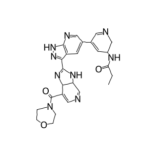 CCC(=O)NC1C=C(c2cnc3[nH]nc(C4=NC5C(C(=O)N6CCOCC6)=CN=CC5N4)c3c2)C=NC1